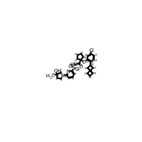 CC1(O)CCN(c2cccc(S(=O)(=O)NC(=O)C3(Oc4cc(Cl)ccc4C4CC5(CCC5)C4)CCCC3)n2)C1